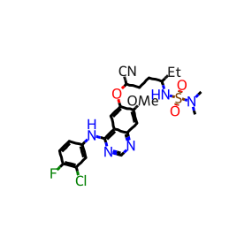 CCC(CCC(C#N)Oc1cc2c(Nc3ccc(F)c(Cl)c3)ncnc2cc1OC)NS(=O)(=O)N(C)C